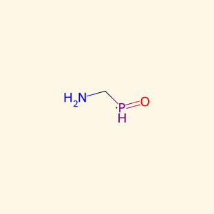 NC[PH]=O